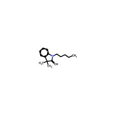 [CH]=C1N(CCCCC)c2ccccc2C1(C)C